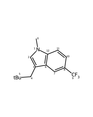 Cn1cc(CC(C)(C)C)c2cc(C(F)(F)F)ccc21